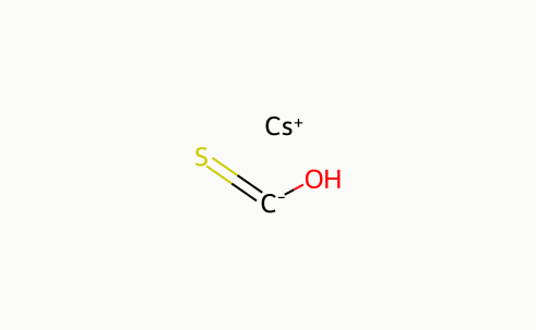 O[C-]=S.[Cs+]